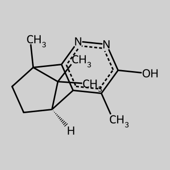 Cc1c(O)nnc2c1[C@H]1CCC2(C)C1(C)C